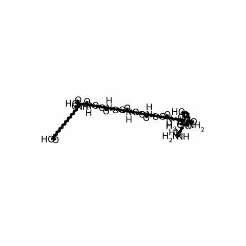 CC(C(=O)[C@@H](C)CCCCNC(=O)COCCOCCNC(=O)COCCOCCNC(=O)COCCOCCNC(=O)COCCOCCNC(=O)CC[C@H](NC(=O)CCCCCCCCCCCCCCCCC(=O)O)C(=O)O)[C@@H](CCCNC(=N)N)C(=O)N[C@@H](Cc1ccc(O)cc1)C(N)=O